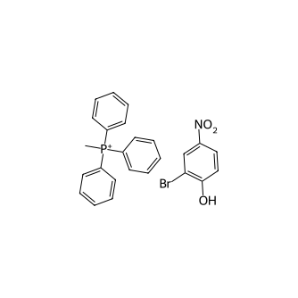 C[P+](c1ccccc1)(c1ccccc1)c1ccccc1.O=[N+]([O-])c1ccc(O)c(Br)c1